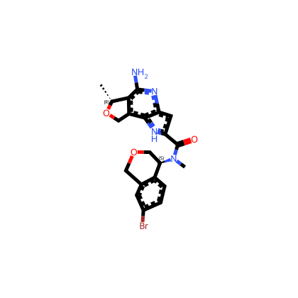 C[C@H]1OCc2c1c(N)nc1cc(C(=O)N(C)[C@@H]3COCc4cc(Br)ccc43)[nH]c21